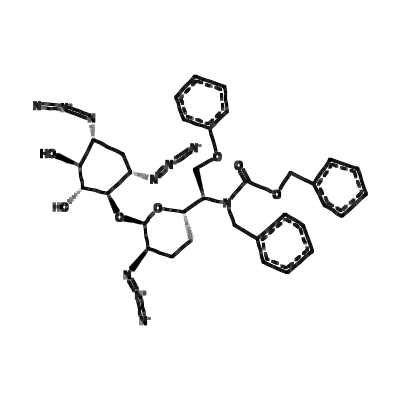 [N-]=[N+]=N[C@H]1C[C@@H](N=[N+]=[N-])[C@H](O)[C@@H](O)[C@@H]1O[C@H]1O[C@H]([C@@H](COc2ccccc2)N(Cc2ccccc2)C(=O)OCc2ccccc2)CC[C@H]1N=[N+]=[N-]